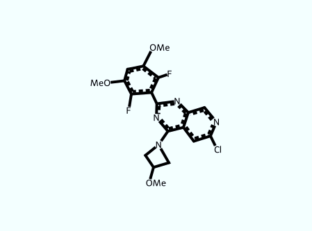 COc1cc(OC)c(F)c(-c2nc(N3CC(OC)C3)c3cc(Cl)ncc3n2)c1F